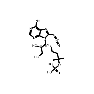 CC(C)(CCO[C@H]([C@H](O)CO)n1c(N=[N+]=[N-])nc2c(N)ncnc21)OP(=O)(O)O